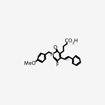 COc1ccc(Cn2cc(F)c(/C=C/c3ccccc3)c(CCCC(=O)O)c2=O)cc1